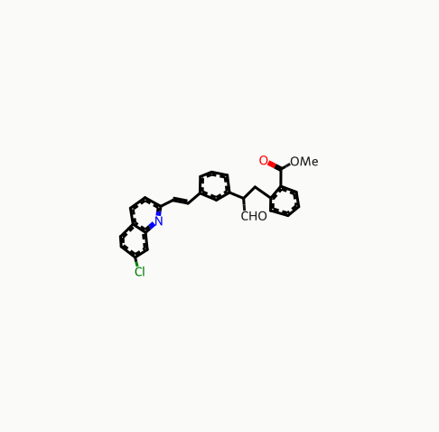 COC(=O)c1ccccc1CC(C=O)c1cccc(C=Cc2ccc3ccc(Cl)cc3n2)c1